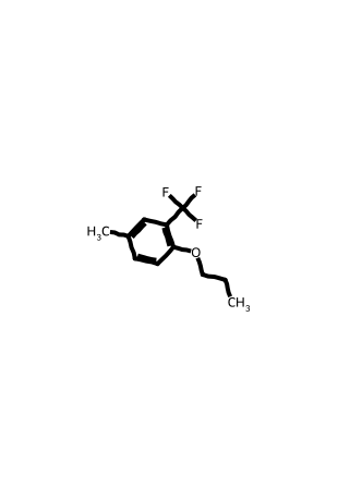 CCCOc1ccc(C)cc1C(F)(F)F